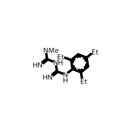 CCc1cc(CC)c(NC(=N)NC(=N)NC)c(CC)c1